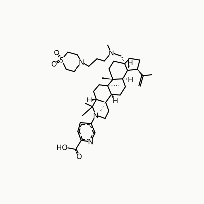 C=C(C)[C@@H]1CC[C@]2(CN(C)CCCN3CCS(=O)(=O)CC3)CC[C@]3(C)[C@H](CC[C@@H]4[C@@]5(C)CCN(c6ccc(C(=O)O)nc6)C(C)(C)[C@@H]5CC[C@]43C)[C@@H]12